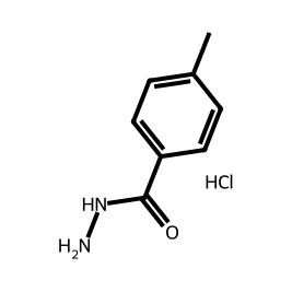 Cc1ccc(C(=O)NN)cc1.Cl